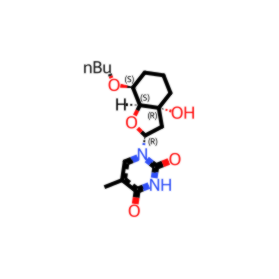 CCCCO[C@H]1CCC[C@@]2(O)C[C@H](n3cc(C)c(=O)[nH]c3=O)O[C@@H]12